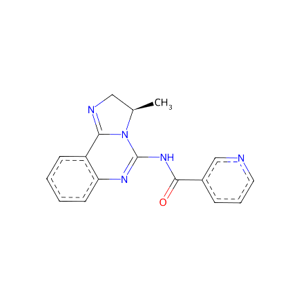 C[C@@H]1CN=C2c3ccccc3N=C(NC(=O)c3cccnc3)N21